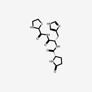 O=C1CC[C@@H](C(=O)N[C@@H](Cc2c[nH]cn2)C(=O)NC(=O)C2NCCS2)N1